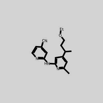 CCOCCC(C)c1cc(C)nc(Nc2cc(C#N)ccn2)c1